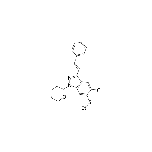 CCSc1cc2c(cc1Cl)c(C=Cc1ccccc1)nn2C1CCCCO1